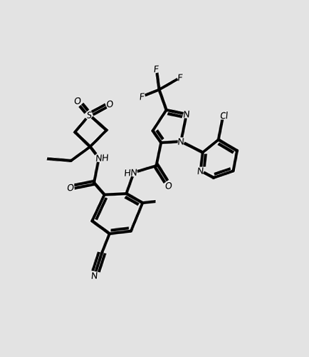 CCC1(NC(=O)c2cc(C#N)cc(C)c2NC(=O)c2cc(C(F)(F)F)nn2-c2ncccc2Cl)CS(=O)(=O)C1